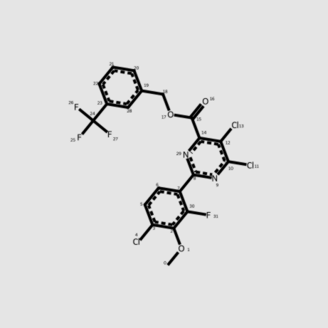 COc1c(Cl)ccc(-c2nc(Cl)c(Cl)c(C(=O)OCc3cccc(C(F)(F)F)c3)n2)c1F